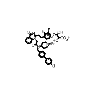 CC(C)N1CCC(N(Cc2ccc(-c3ccc(Cl)cc3)cc2)C(=O)Cn2c(CCc3cccc(F)c3F)nc(=O)c3ccccc32)CC1.O=C(O)C(O)C(O)C(=O)O